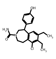 CCc1cc2c(c(Cl)c1CC)CCN(C(N)=O)CC2c1ccc(O)cc1